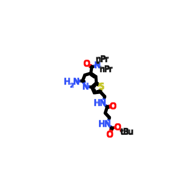 CCCN(CCC)C(=O)C1=Cc2sc(CNC(=O)CCNC(=O)OC(C)(C)C)cc2N=C(N)C1